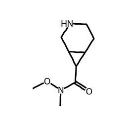 CON(C)C(=O)C1C2CCNCC21